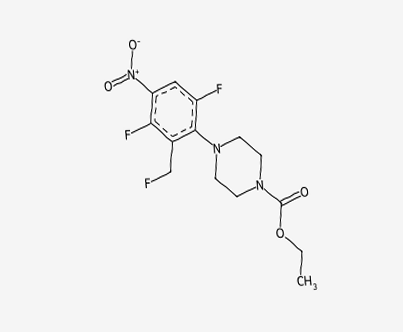 CCOC(=O)N1CCN(c2c(F)cc([N+](=O)[O-])c(F)c2CF)CC1